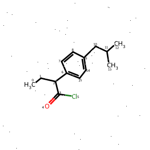 CCC(C(=O)Cl)c1ccc(CC(C)C)cc1